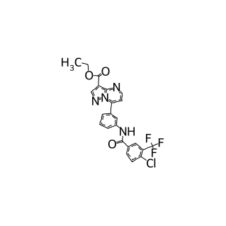 CCOC(=O)c1cnn2c(-c3cccc(NC(=O)c4ccc(Cl)c(C(F)(F)F)c4)c3)ccnc12